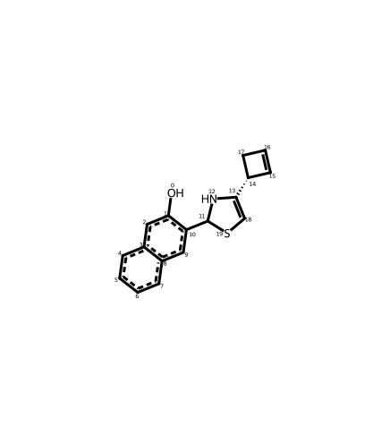 Oc1cc2ccccc2cc1C1NC([C@H]2C=CC2)=CS1